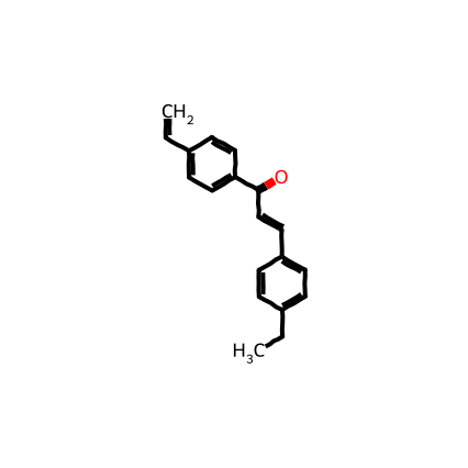 C=Cc1ccc(C(=O)C=Cc2ccc(CC)cc2)cc1